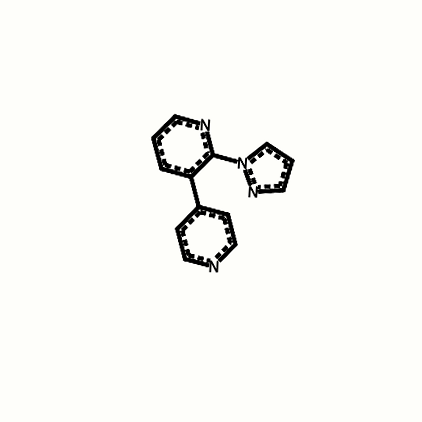 c1cnc(-n2cccn2)c(-c2ccncc2)c1